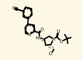 CC(C)(C)OC(=O)N1C[C@H](NC(=O)c2cc(-c3cccc(C#N)c3)ccn2)C[C@H]1CCl